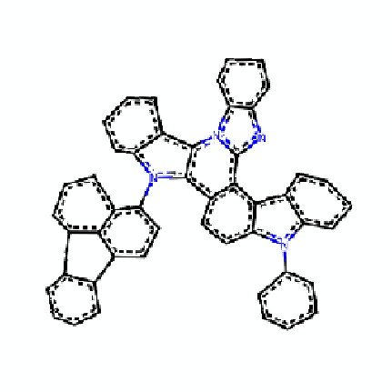 c1ccc(-n2c3ccccc3c3c4c(ccc32)c2c(c3ccccc3n2-c2ccc3c5c(cccc25)-c2ccccc2-3)n2c3ccccc3nc42)cc1